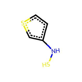 SNc1ccsc1